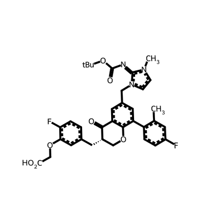 Cc1cc(F)ccc1-c1cc(Cn2ccn(C)/c2=N/C(=O)OC(C)(C)C)cc2c1OC[C@H](Cc1ccc(F)c(OCC(=O)O)c1)C2=O